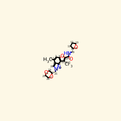 Cc1cc2oc(C(=O)NC[C@@H]3CCCO3)c(C(F)(F)F)c2c2nn(C[C@H]3COCCO3)cc12